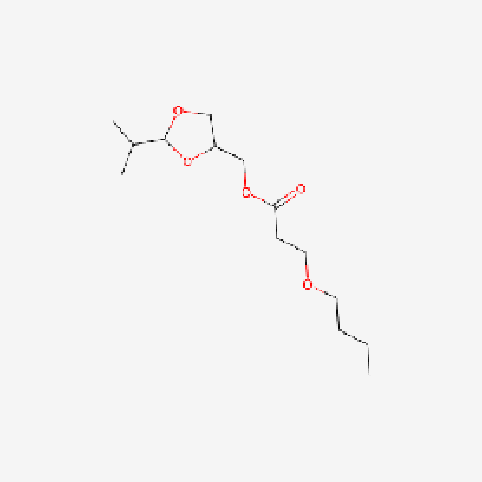 CCCCOCCC(=O)OCC1COC(C(C)C)O1